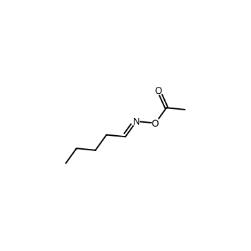 CCCCC=NOC(C)=O